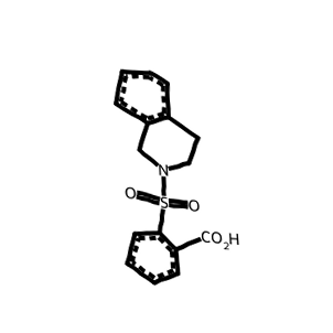 O=C(O)c1ccccc1S(=O)(=O)N1CCc2ccccc2C1